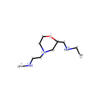 CCCNCCN1CCOC(CNCC(C)C)C1